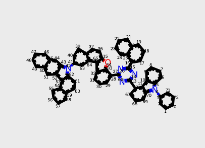 c1ccc(-n2c3ccccc3c3c(-c4nc(-c5cccc6ccccc56)nc(-c5cccc6c5oc5ccc7ccc(-n8c9cc%10ccccc%10cc9c9c%10ccccc%10ccc98)cc7c56)n4)cccc32)cc1